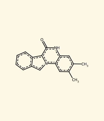 Cc1cc2[nH]c(=O)c3c4ccccc4cn3c2cc1C